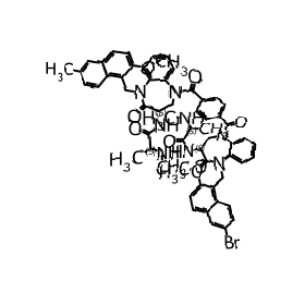 CN[C@@H](C)C(=O)N[C@H]1CN(C(=O)c2ccc(C(=O)N3C[C@H](NC(=O)[C@H](C)NC)C(=O)N(Cc4c(OC)ccc5cc(Br)ccc45)c4ccccc43)cc2)c2ccccc2N(Cc2c(OC)ccc3cc(C)ccc23)C1=O